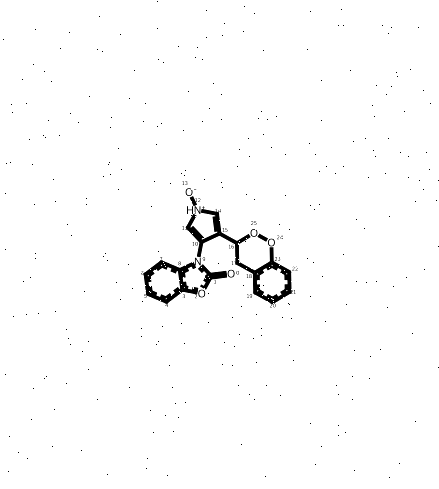 O=c1oc2ccccc2n1C1=[C][NH+]([O-])C=C1C1Cc2ccccc2OO1